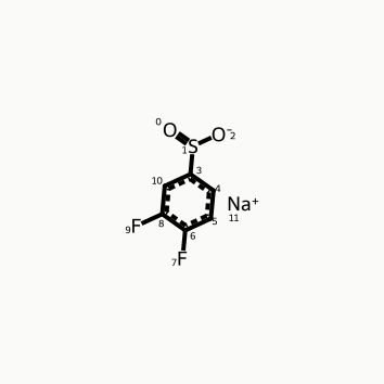 O=S([O-])c1ccc(F)c(F)c1.[Na+]